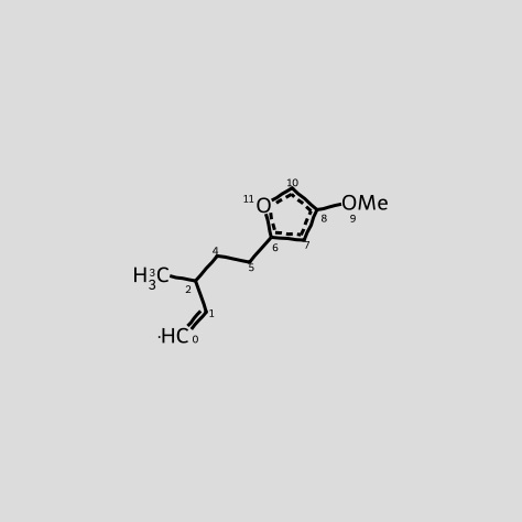 [CH]=CC(C)CCc1cc(OC)co1